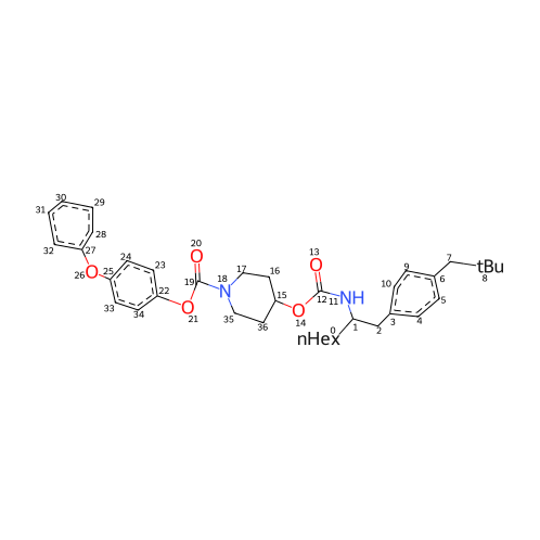 CCCCCCC(Cc1ccc(CC(C)(C)C)cc1)NC(=O)OC1CCN(C(=O)Oc2ccc(Oc3ccccc3)cc2)CC1